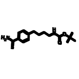 CC(C)(C)OC(=O)NCCCCc1ccc(C(N)=S)cc1